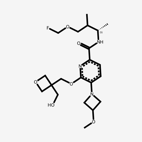 COC1CN(c2ccc(C(=O)N[C@@H](C)C(C)COCF)nc2OCC2(CO)COC2)C1